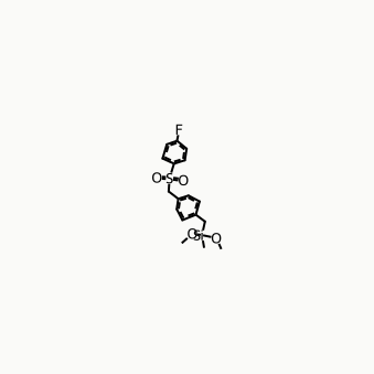 CO[Si](C)(Cc1ccc(CS(=O)(=O)c2ccc(F)cc2)cc1)OC